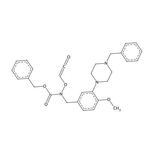 COc1ccc(CN(OC=C=O)C(=O)OCc2ccccc2)cc1N1CCN(Cc2ccccc2)CC1